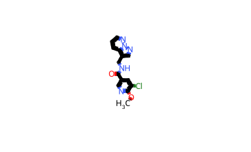 COc1ncc(C(=O)NCc2cnn3ncccc23)cc1Cl